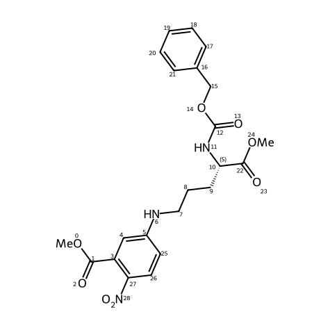 COC(=O)c1cc(NCCC[C@H](NC(=O)OCc2ccccc2)C(=O)OC)ccc1[N+](=O)[O-]